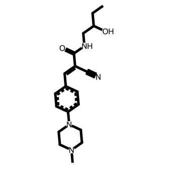 CCC(O)CNC(=O)/C(C#N)=C/c1ccc(N2CCN(C)CC2)cc1